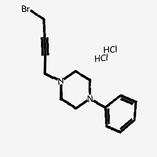 BrCC#CCN1CCN(c2ccccc2)CC1.Cl.Cl